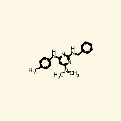 Cc1ccc(Nc2cc(N(C)C)nc(NCc3ccccc3)n2)cc1